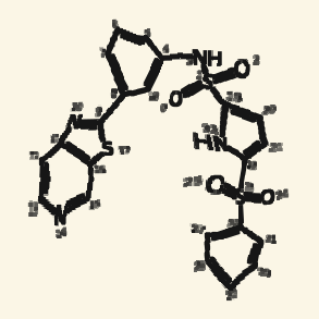 O=S(=O)(Nc1cccc(-c2nc3ccncc3s2)c1)c1ccc(S(=O)(=O)c2ccccc2)[nH]1